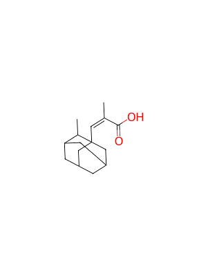 CC(=CC12CC3CC(CC(C3)C1C)C2)C(=O)O